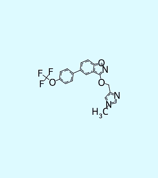 Cn1cnc(COc2noc3ccc(-c4ccc(OC(F)(F)F)cc4)cc23)c1